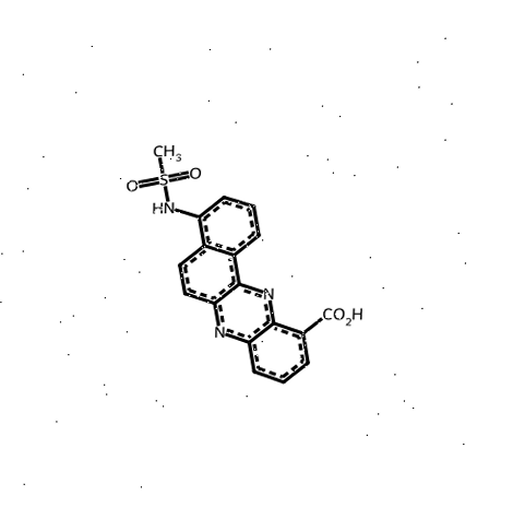 CS(=O)(=O)Nc1cccc2c1ccc1nc3cccc(C(=O)O)c3nc12